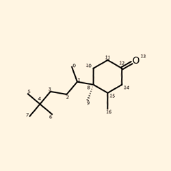 CC(CCC(C)(C)C)[C@@]1(C)CCC(=O)CC1C